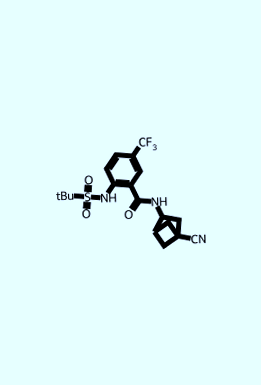 CC(C)(C)S(=O)(=O)Nc1ccc(C(F)(F)F)cc1C(=O)NC1CC2(C#N)CC1C2